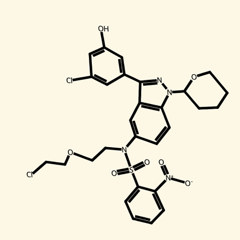 O=[N+]([O-])c1ccccc1S(=O)(=O)N(CCOCCCl)c1ccc2c(c1)c(-c1cc(O)cc(Cl)c1)nn2C1CCCCO1